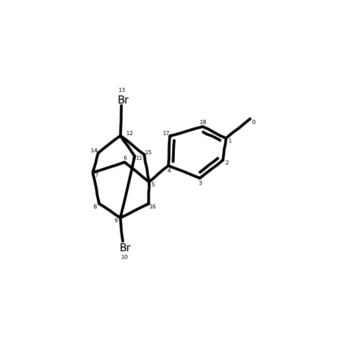 Cc1ccc(C23CC4CC(Br)(CC(Br)(C4)C2)C3)cc1